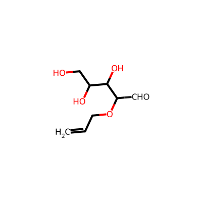 C=CCOC(C=O)C(O)C(O)CO